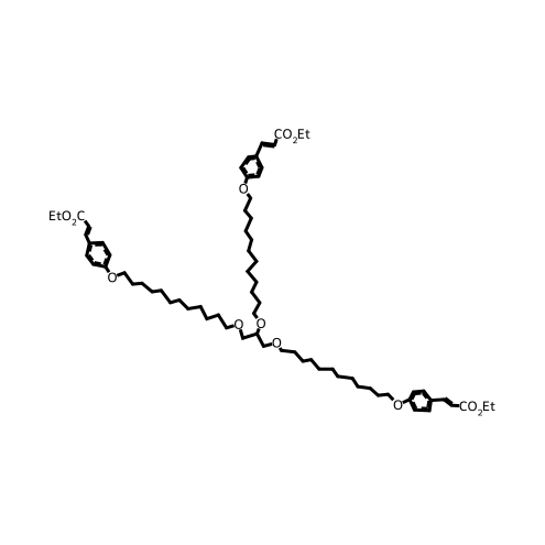 CCOC(=O)C=Cc1ccc(OCCCCCCCCCCCCOCC(COCCCCCCCCCCCCOc2ccc(C=CC(=O)OCC)cc2)OCCCCCCCCCCCCOc2ccc(C=CC(=O)OCC)cc2)cc1